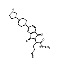 CNC(=O)C(CCC=O)N1C(=O)c2ccc(N3CCN(C4CCNC4)CC3)cc2C1=O